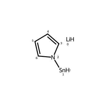 [LiH].[SnH][n]1cccc1